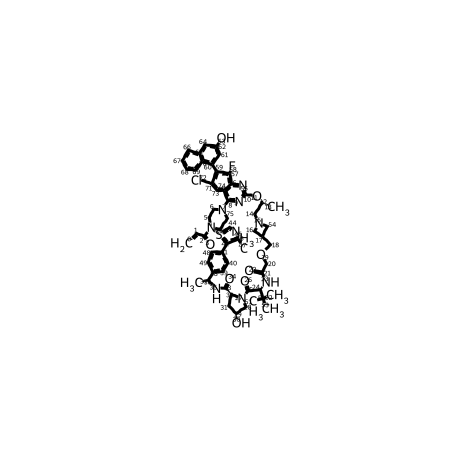 C=CC(=O)N1CCN(c2nc(O[C@H](C)CN3CC(COCC(=O)N[C@H](C(=O)N4C[C@H](O)C[C@H]4C(=O)N[C@@H](C)c4ccc(-c5scnc5C)cc4)C(C)(C)C)C3)nc3c(F)c(-c4cc(O)cc5ccccc45)c(Cl)cc23)CC1